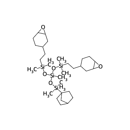 C[Si](C)(CCC1CCC2OC2C1)O[Si](C)(O[Si](C)(C)CCC1CCC2OC2C1)O[Si](C)(C)C12CCC(CC1)C2